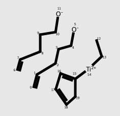 C=CCCC[O-].C=CCCC[O-].C[CH2][Ti+2][C]1=CC=CC1